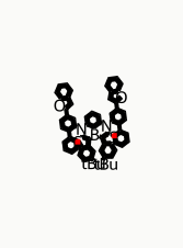 CC(C)(C)c1ccc2sc3c(c2c1)B1c2c(cccc2N(c2cc(-c4cc5ccccc5o4)ccc2-c2ccccc2)c2sc4ccc(C(C)(C)C)cc4c21)N3c1cc(-c2cc3ccccc3o2)ccc1-c1ccccc1